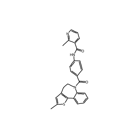 Cc1cc2c(s1)-c1ccccc1N(C(=O)c1ccc(NC(=O)c3cccnc3C)cc1)CC2